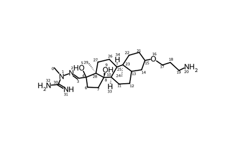 CN(/N=C/C1(O)CC[C@@]2(O)[C@@H]3CCC4CC(OCCCN)CC[C@]4(C)[C@@H]3CC[C@]12C)C(=N)N